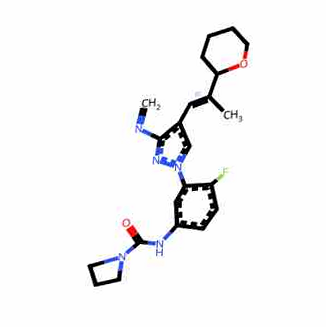 C=Nc1nn(-c2cc(NC(=O)N3CCC3)ccc2F)cc1/C=C(\C)C1CCCCO1